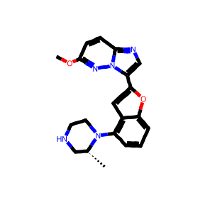 COc1ccc2ncc(-c3cc4c(N5CCNC[C@H]5C)cccc4o3)n2n1